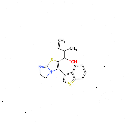 C=CC(C)C(O)C1=C(c2csc3ccccc23)N2CCN=C2S1